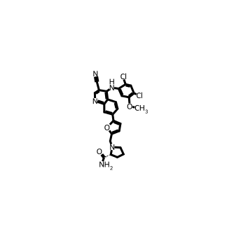 COc1cc(Nc2c(C#N)cnc3cc(-c4ccc(CN5CCC[C@@H]5C(N)=O)o4)ccc23)c(Cl)cc1Cl